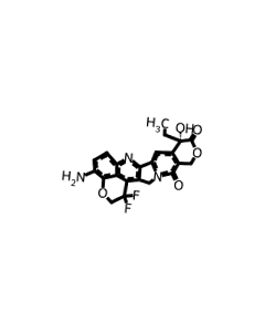 CC[C@@]1(O)C(=O)OCc2c1cc1n(c2=O)Cc2c-1nc1ccc(N)c3c1c2C(F)(F)CO3